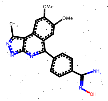 COc1cc2c(-c3ccc(/C(N)=N/O)cc3)nc3[nH]nc(C)c3c2cc1OC